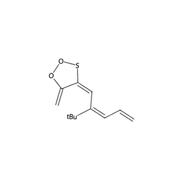 C=C/C=C(\C=C1\SOOC1=C)C(C)(C)C